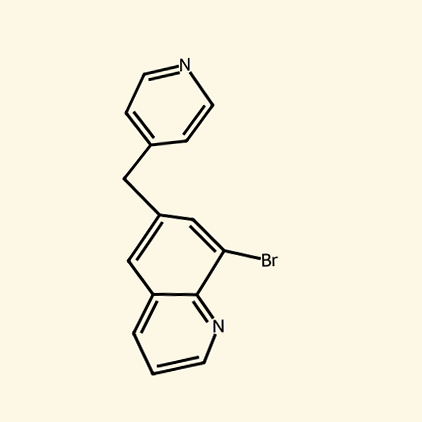 Brc1cc(Cc2ccncc2)cc2cccnc12